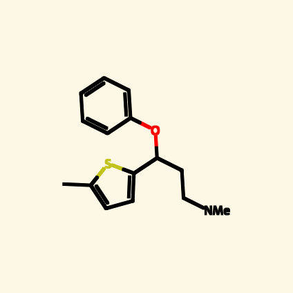 CNCCC(Oc1ccccc1)c1ccc(C)s1